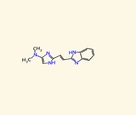 CN(C)c1c[nH]c(C=Cc2nc3ccccc3[nH]2)n1